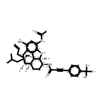 C=CC[N+]1(CC(C)C)CC[C@]23c4c5c(O)cc(OC(C)=O)c4O[C@H]2[C@@H](NC(=O)C#Cc2ccc(C(F)(F)F)cc2)CC[C@H]3[C@H]1C5